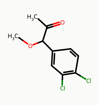 COC(C(C)=O)c1ccc(Cl)c(Cl)c1